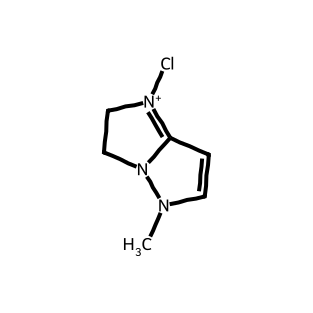 CN1C=CC2=[N+](Cl)CCN21